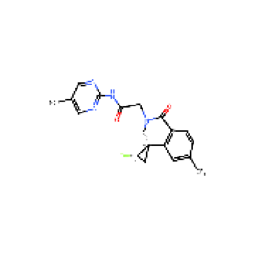 N#Cc1cnc(NC(=O)CN2C[C@@]3(C[C@H]3F)c3cc(C(F)(F)F)ccc3C2=O)nc1